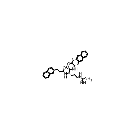 N=C(N)NCCC[C@H](NC(=O)CCc1ccc2ccccc2c1)C(=O)N[C@@H](Cc1ccc2ccccc2c1)C(N)=O